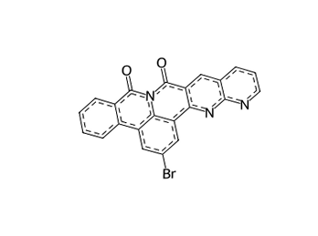 O=c1c2ccccc2c2cc(Br)cc3c4nc5ncccc5cc4c(=O)n1c23